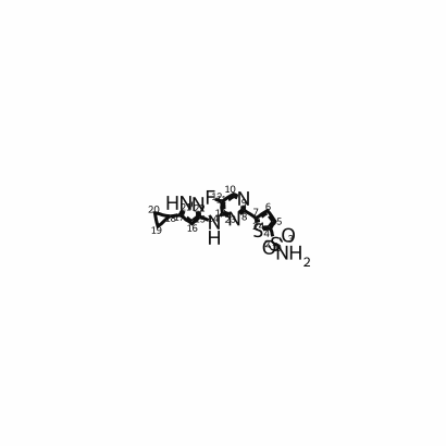 NS(=O)(=O)c1ccc(-c2ncc(F)c(Nc3cc(C4CC4)[nH]n3)n2)s1